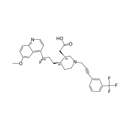 COc1ccc2nccc([C@H](F)CC[C@@H]3CCN(CC#Cc4cccc(C(F)(F)F)c4)C[C@@H]3CC(=O)O)c2c1